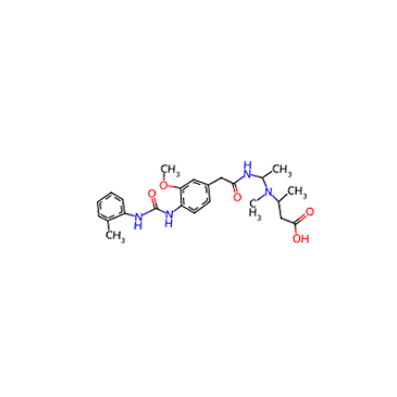 COc1cc(CC(=O)NC(C)N(C)C(C)CC(=O)O)ccc1NC(=O)Nc1ccccc1C